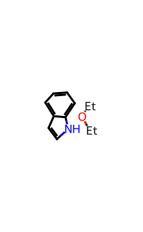 CCOCC.c1ccc2[nH]ccc2c1